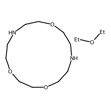 C1COCCNCCOCCOCCN1.CCOCC